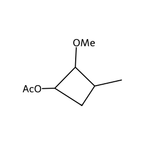 COC1C(C)CC1OC(C)=O